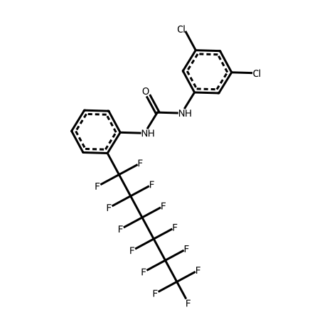 O=C(Nc1cc(Cl)cc(Cl)c1)Nc1ccccc1C(F)(F)C(F)(F)C(F)(F)C(F)(F)C(F)(F)C(F)(F)F